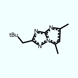 Cc1cc(C)n2nc(CC(C)(C)C)nc2n1